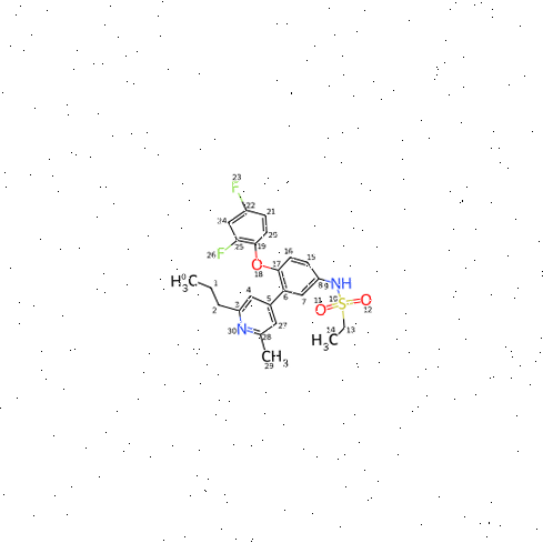 CCCc1cc(-c2cc(NS(=O)(=O)CC)ccc2Oc2ccc(F)cc2F)cc(C)n1